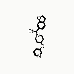 CCC(c1ccc2c(c1)OCC2)N1CCC(Oc2cccnc2)CC1